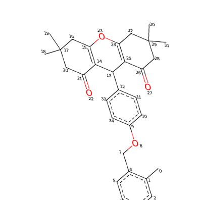 Cc1ccccc1COc1ccc(C2C3=C(CC(C)(C)CC3=O)OC3=C2C(=O)CC(C)(C)C3)cc1